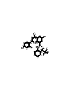 Cc1cc([C@@H](C)Nc2ccccc2C(=O)C(F)(F)F)c2oc(-c3ccc(F)cc3F)cc(=O)c2c1